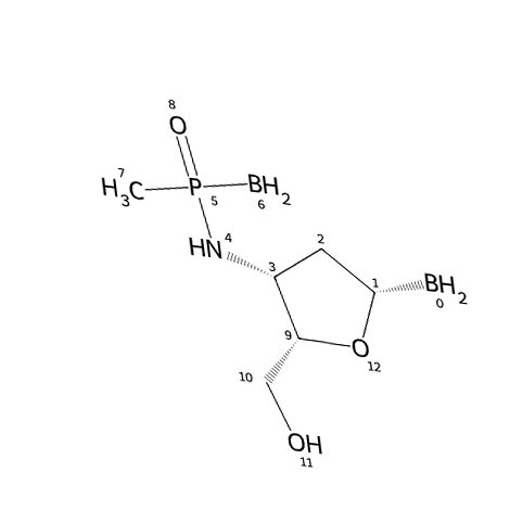 B[C@H]1C[C@@H](NP(B)(C)=O)[C@@H](CO)O1